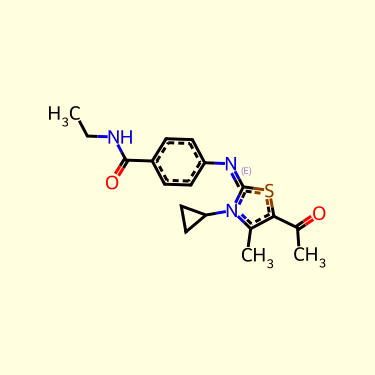 CCNC(=O)c1ccc(/N=c2/sc(C(C)=O)c(C)n2C2CC2)cc1